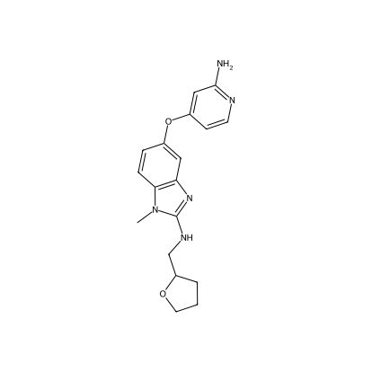 Cn1c(NCC2CCCO2)nc2cc(Oc3ccnc(N)c3)ccc21